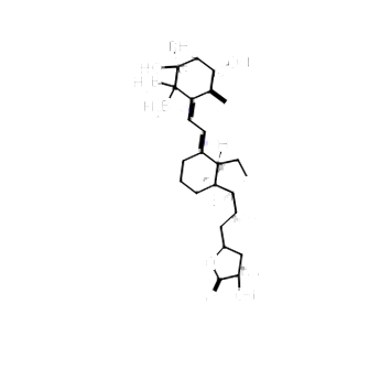 BC1(B)/C(=C/C=C2\CCC[C@]3(C)[C@@H]([C@H](C)CC4C[C@@](C)(O)C(=O)O4)CC[C@@H]23)C(=C)[C@@H](O)C[C@]1(B)O